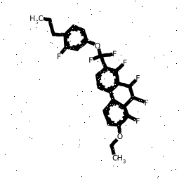 CCCc1ccc(OC(F)(F)c2ccc3c(c2F)C(F)C(F)c2c-3ccc(OCC)c2F)cc1F